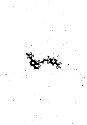 Cc1nc(-c2ccc3ccnc(NCCc4nc5cc(C(=O)O)cnc5n4C)c3c2)no1